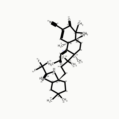 CC(=O)/C=C1/[C@@]2(C)C=C(C#N)C(=O)C(C)(C)[C@@H]2CC[C@@]1(C)C(C)(C)CC[C@@]1(NC(=O)C(F)(F)F)CCC(C)(C)CC1C